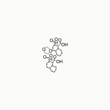 C1COCCO1.O=C(O)c1ccc2ccccc2c1C(=O)O.O=C(O)c1ccc2ccccc2c1C(=O)O